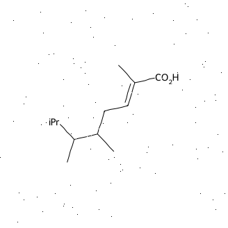 CC(=CCC(C)C(C)C(C)C)C(=O)O